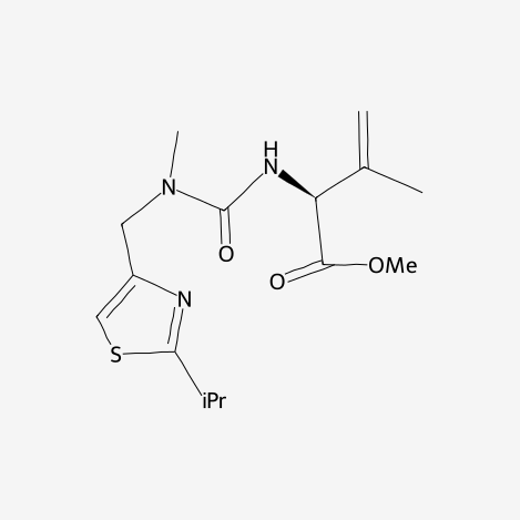 C=C(C)[C@H](NC(=O)N(C)Cc1csc(C(C)C)n1)C(=O)OC